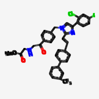 COC(=O)CNCC(=O)c1ccc(Cn2cc(-c3ccc(Cl)cc3Cl)nc2/C=C/c2ccc(-c3cccc(C(F)(F)F)c3)cc2)cc1